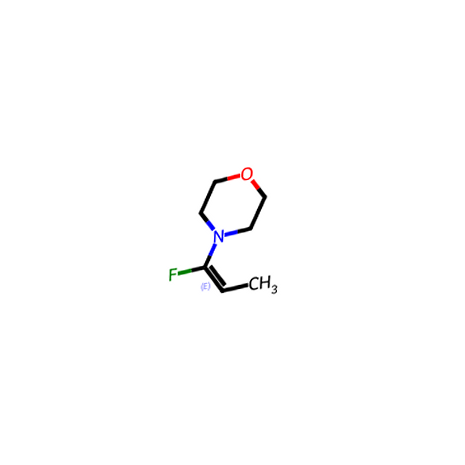 C/C=C(/F)N1CCOCC1